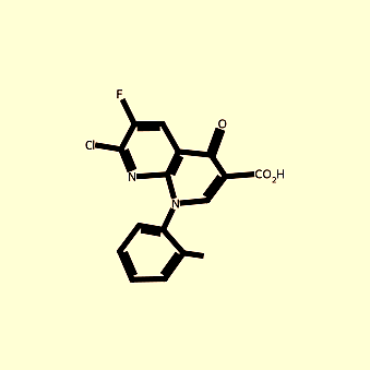 Cc1ccccc1-n1cc(C(=O)O)c(=O)c2cc(F)c(Cl)nc21